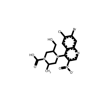 CC1CN(c2c([N+](=O)[O-])cnc3cc(Br)c(Cl)cc23)C(CO)CN1C(=O)O